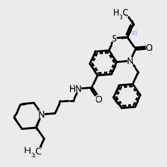 C/C=C1\Sc2ccc(C(=O)NCCCN3CCCCC3CC)cc2N(Cc2ccccc2)C1=O